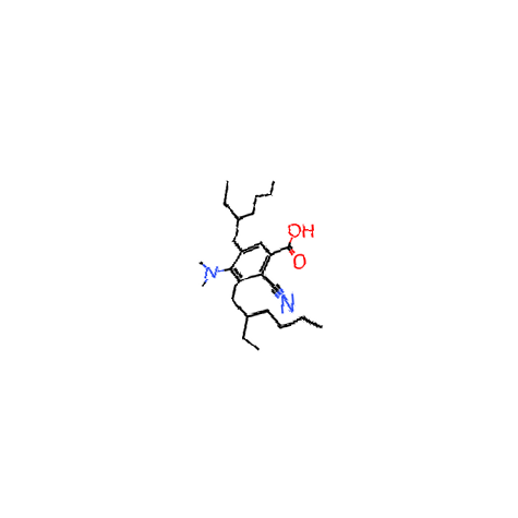 CCCCC(CC)Cc1cc(C(=O)O)c(C#N)c(CC(CC)CCCC)c1N(C)C